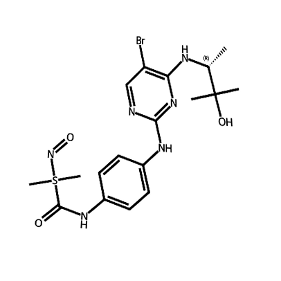 C[C@@H](Nc1nc(Nc2ccc(NC(=O)S(C)(C)N=O)cc2)ncc1Br)C(C)(C)O